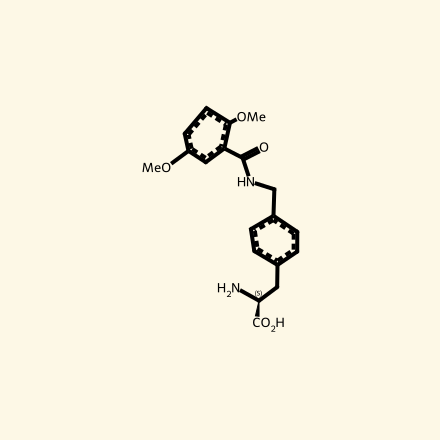 COc1ccc(OC)c(C(=O)NCc2ccc(C[C@H](N)C(=O)O)cc2)c1